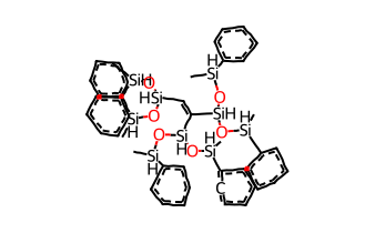 C[SiH](O[SiH](C=C([SiH](O[SiH](C)c1ccccc1)O[SiH](C)c1ccccc1)[SiH](O[SiH](C)c1ccccc1)O[SiH](C)c1ccccc1)O[SiH](C)c1ccccc1)c1ccccc1